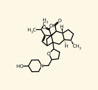 CC(C)C1=CC2CC3(C=O)[C@@H]4CC[C@@H](C)[C@H]4CC2(C2CCC(CN4CCC(O)CC4)O2)C13C(=O)O